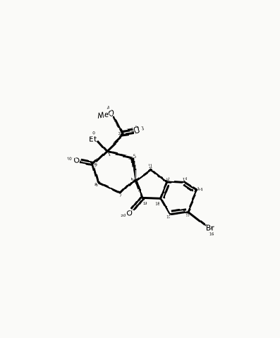 CCC1(C(=O)OC)C[C@@]2(CCC1=O)Cc1ccc(Br)cc1C2=O